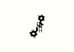 C1=C(c2ccccc2)ON(/C=C/c2ccccc2)N1